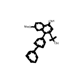 COc1ccc2c(O)cc(C(C)(C)O)c(-c3ccc(-c4ccccc4)cc3)c2c1